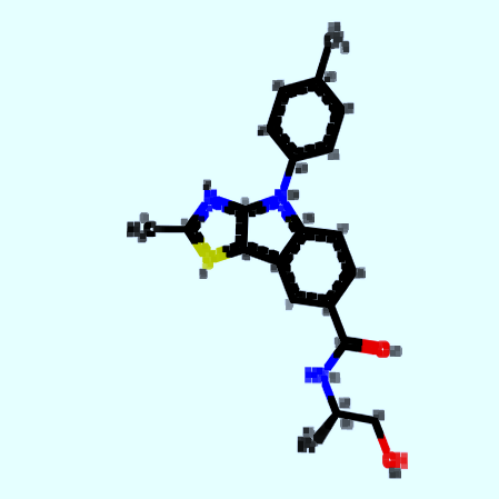 Cc1nc2c(s1)c1cc(C(=O)N[C@@H](CO)C(C)C)ccc1n2-c1ccc(C(F)(F)F)cc1